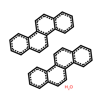 O.c1ccc2c(c1)ccc1c3ccccc3ccc21.c1ccc2c(c1)ccc1c3ccccc3ccc21